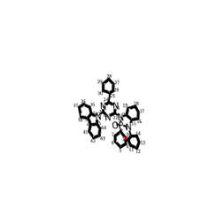 O=P1(c2ccccc2)N(c2ccccc2)c2ccccc2N1c1nc(-c2ccccc2)nc(-n2c3ccccc3c3ccccc32)n1